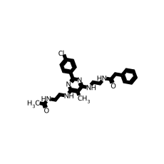 CC(=O)NCCNc1nc(-c2ccc(Cl)cc2)nc(NCCNC(=O)Cc2ccccc2)c1C